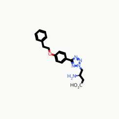 N[C@H](CC(=O)O)Cn1nnc(-c2ccc(OCCc3ccccc3)cc2)n1